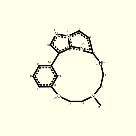 CN1CCNc2ccn3ncc(c3n2)-c2cccc(c2)OCC1